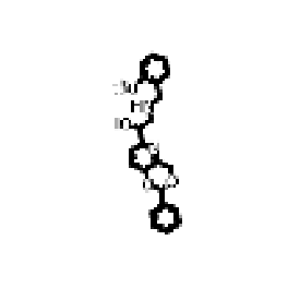 CC(C)(C)c1ccccc1CNCC(O)c1ccc2c(n1)COC(c1ccccc1)O2